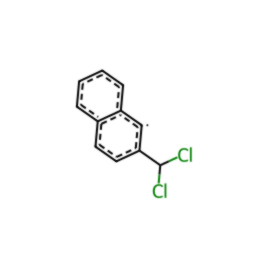 ClC(Cl)c1[c]c2ccccc2cc1